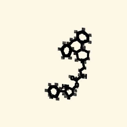 O=C(NCCN1CCN2c3ccccc3Cc3ccccc3C2C1)OC1CSC(c2cccnc2)N1